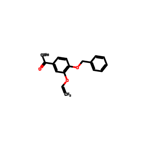 C=COc1cc(C(=O)OC)ccc1OCc1ccccc1